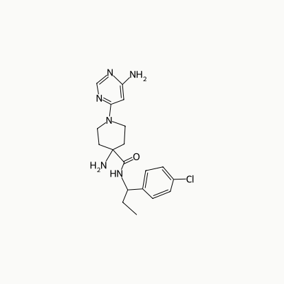 CCC(NC(=O)C1(N)CCN(c2cc(N)ncn2)CC1)c1ccc(Cl)cc1